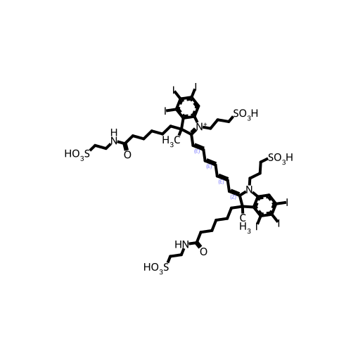 CC1(CCCCCC(=O)NCCS(=O)(=O)O)C(/C=C/C=C/C=C/C=C2\N(CCCS(=O)(=O)O)c3cc(I)c(I)c(I)c3C2(C)CCCCCC(=O)NCCS(=O)(=O)O)=[N+](CCCS(=O)(=O)O)c2cc(I)c(I)c(I)c21